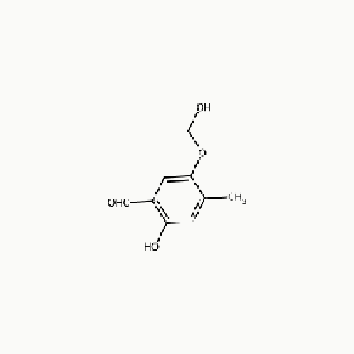 Cc1cc(O)c(C=O)cc1OCO